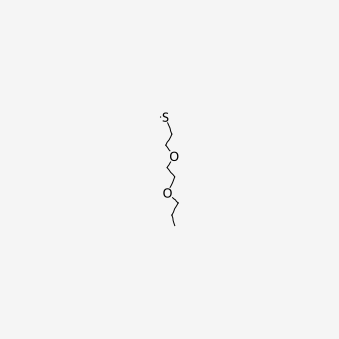 CCCOCCOCC[S]